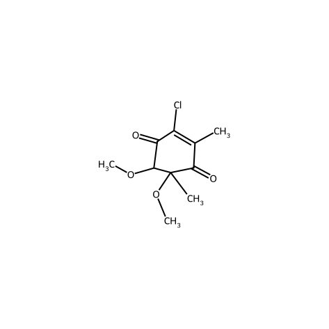 COC1C(=O)C(Cl)=C(C)C(=O)C1(C)OC